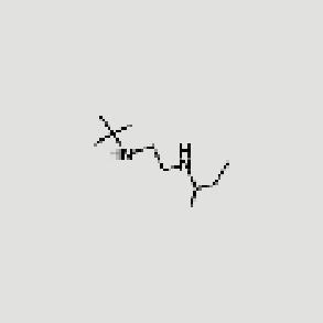 CCC(C)NCCNC(C)(C)C